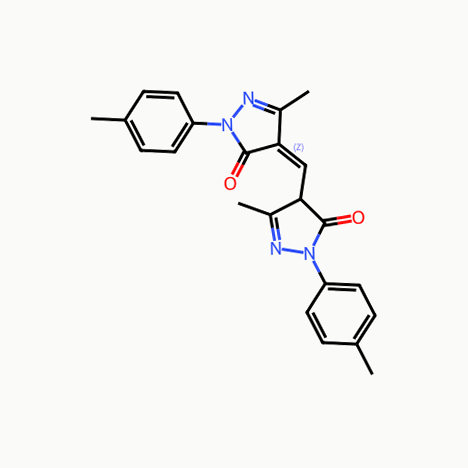 CC1=NN(c2ccc(C)cc2)C(=O)/C1=C\C1C(=O)N(c2ccc(C)cc2)N=C1C